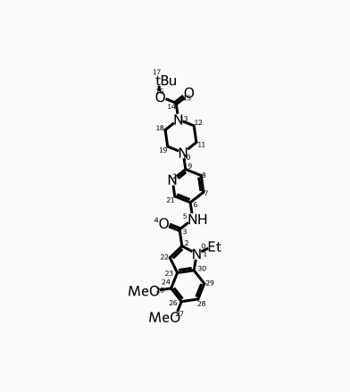 CCn1c(C(=O)Nc2ccc(N3CCN(C(=O)OC(C)(C)C)CC3)nc2)cc2c(OC)c(OC)ccc21